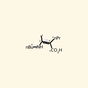 CCCCN/C(C)=C(/CCC)C(=O)O